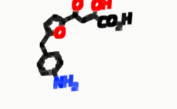 Nc1ccc(Cc2ccc(C(=O)C=C(O)C(=O)O)o2)cc1